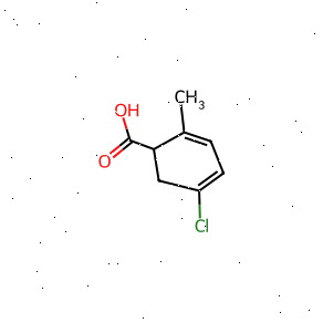 CC1=CC=C(Cl)CC1C(=O)O